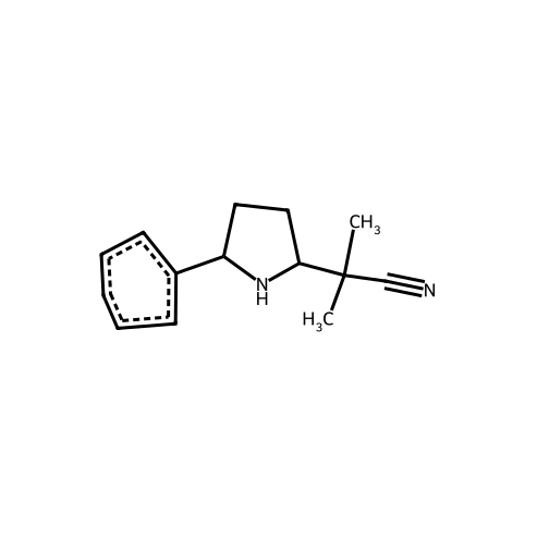 CC(C)(C#N)C1CCC(c2ccccc2)N1